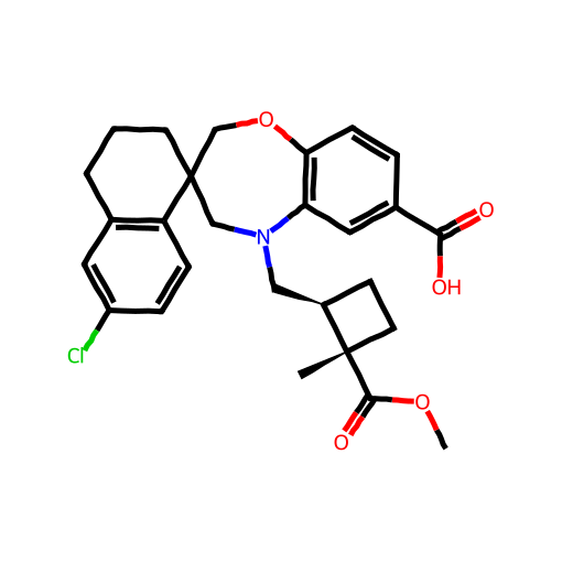 COC(=O)[C@@]1(C)CC[C@@H]1CN1CC2(CCCc3cc(Cl)ccc32)COc2ccc(C(=O)O)cc21